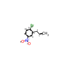 C=CCc1cc([N+](=O)[O-])ccc1Br